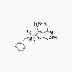 O=C(NCc1ccccc1)c1cc2c[nH]nc3c-2c1CNC=C3